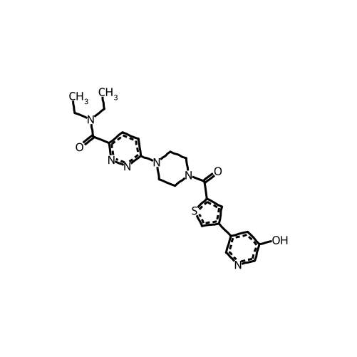 CCN(CC)C(=O)c1ccc(N2CCN(C(=O)c3cc(-c4cncc(O)c4)cs3)CC2)nn1